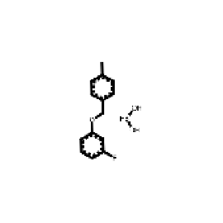 Cc1ccc(COc2cccc(F)c2)cc1.OBO